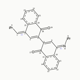 CC(C)/C=C1/C=C(C2=C/C(=N\C(C)C)c3ccccc3C2=O)C(=O)c2ccccc21